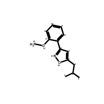 CC(C)Cc1cc(-c2ccccc2ON)no1